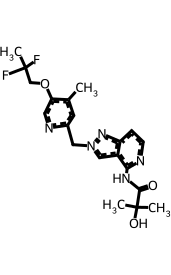 Cc1cc(Cn2cc3c(NC(=O)C(C)(C)O)nccc3n2)ncc1OCC(C)(F)F